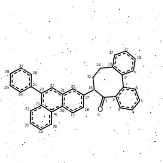 O=C1c2ccccc2-c2ccccc2CCC1c1ccc2c(c1)cc(-c1ccccc1)c1ccccc12